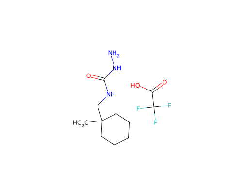 NNC(=O)NCC1(C(=O)O)CCCCC1.O=C(O)C(F)(F)F